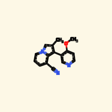 COc1ccncc1-c1c(C)cn2cccc(C#N)c12